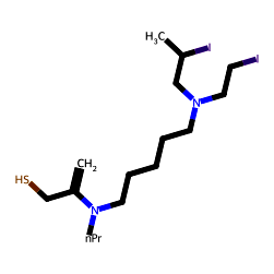 C=C(CS)N(CCC)CCCCCN(CCI)CC(C)I